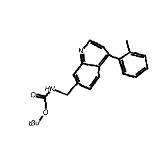 Cc1ccccc1-c1ccnc2cc(CNC(=O)OC(C)(C)C)ccc12